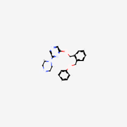 c1ccc(OCc2ccccc2COc2cncc(N3CCNCC3)n2)cc1